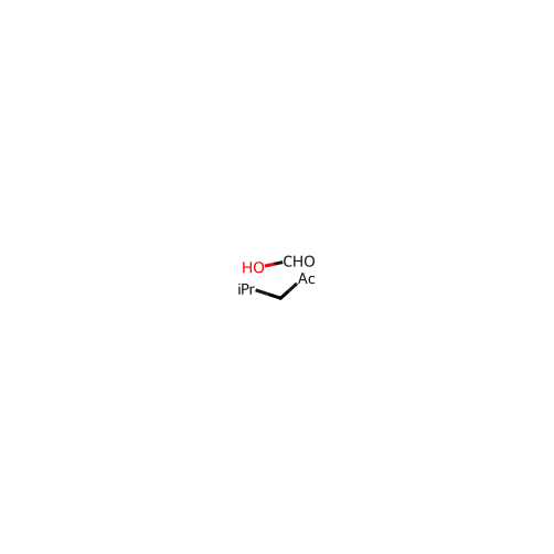 CC(=O)CC(C)C.O=CO